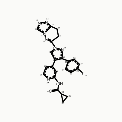 O=C(Nc1cc(-c2cn(C3=Nn4cnnc4CC3)nc2-c2ccc(F)cc2)ccn1)C1CC1